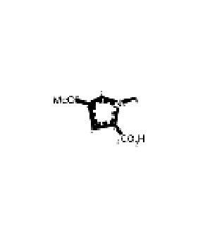 COc1cc(C(=O)O)n(C)c1